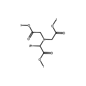 CC(C)C(C(=O)OI)N(CC(=O)OI)CC(=O)OI